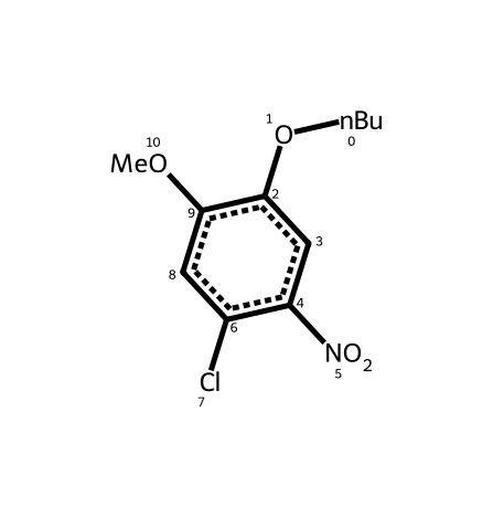 CCCCOc1cc([N+](=O)[O-])c(Cl)cc1OC